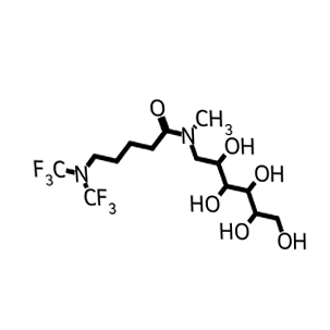 CN(CC(O)C(O)C(O)C(O)CO)C(=O)CCCCN(C(F)(F)F)C(F)(F)F